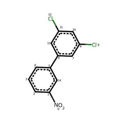 O=[N+]([O-])c1cc[c]c(-c2cc(Cl)cc(Cl)c2)c1